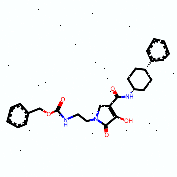 O=C(NCCN1CC(C(=O)N[C@H]2CC[C@@H](c3ccccc3)CC2)=C(O)C1=O)OCc1ccccc1